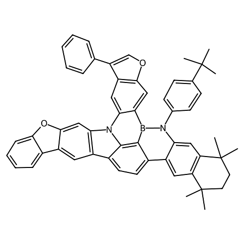 CC(C)(C)c1ccc(N2B3c4cc5occ(-c6ccccc6)c5cc4-n4c5cc6oc7ccccc7c6cc5c5ccc(c3c54)-c3cc4c(cc32)C(C)(C)CCC4(C)C)cc1